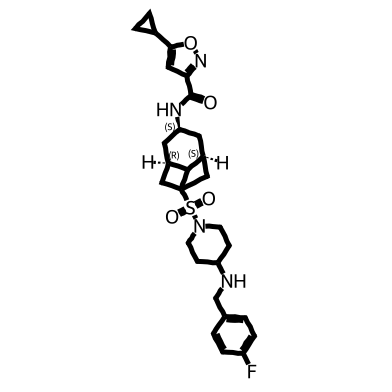 O=C(N[C@@H]1C[C@@H]2CC3(S(=O)(=O)N4CCC(NCc5ccc(F)cc5)CC4)C[C@H](C1)C23)c1cc(C2CC2)on1